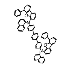 C1=Cc2c(oc3c(N(c4ccc(-c5ccc(-c6ccc(N(c7cccc8ccccc78)c7cccc8c7oc7c(-c9ccccc9)cccc78)cc6)cc5)cc4)c4cccc5ccccc45)cccc23)C(c2ccccc2)C1